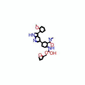 COc1ccccc1-c1c[nH]c2ncc(-c3ccc(NC(O)OCc4ccco4)c(C(=O)N(C)C)c3)cc12